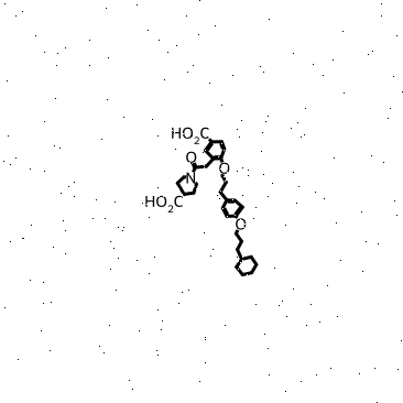 O=C(O)c1ccc(OCCCc2ccc(OCCCC3CCCCC3)cc2)c(CC(=O)N2CCC(C(=O)O)CC2)c1